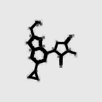 CN1C(=O)CN(c2cc(C3CC3)cc3cc(CN)nn23)C1=O